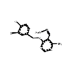 CO/N=C\c1c(N)ncnc1OCc1ccc(Cl)c(Cl)c1